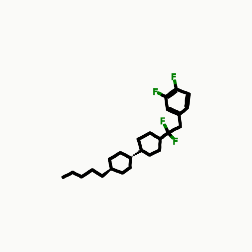 CCCCC[C@H]1CC[C@H](C2CCC(C(F)(F)Cc3ccc(F)c(F)c3)CC2)CC1